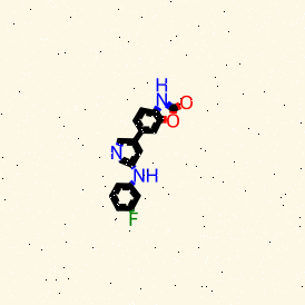 O=c1[nH]c2ccc(-c3cncc(Nc4cccc(F)c4)c3)cc2o1